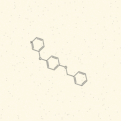 c1ccc(COc2ccc(Oc3cccnc3)cc2)cc1